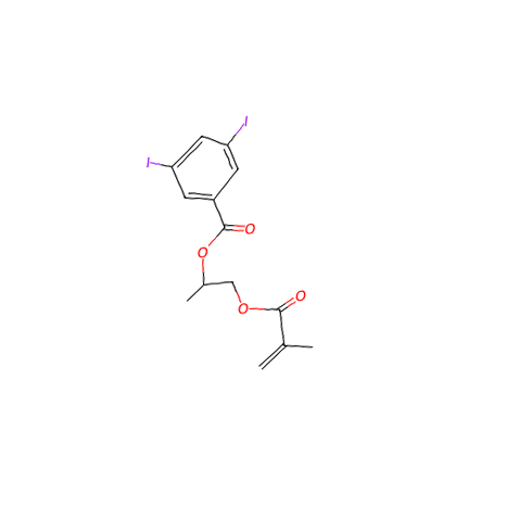 C=C(C)C(=O)OCC(C)OC(=O)c1cc(I)cc(I)c1